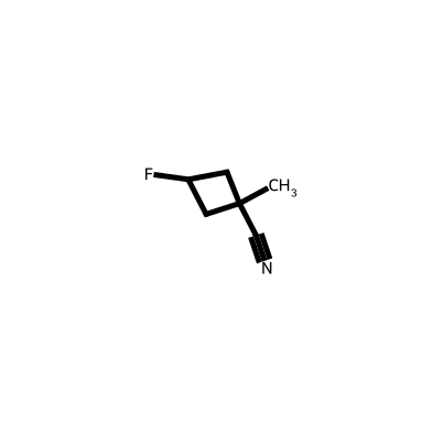 CC1(C#N)CC(F)C1